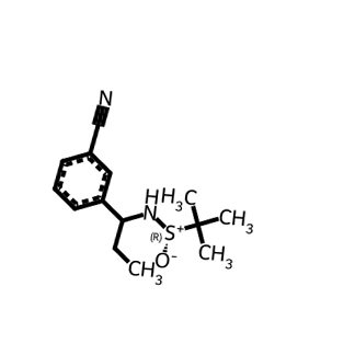 CCC(N[S@@+]([O-])C(C)(C)C)c1cccc(C#N)c1